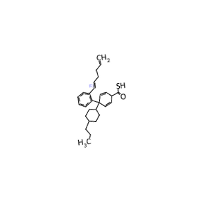 C=CCC/C=C/c1ccccc1C1(C2CCC(CCC)CC2)C=CC(C(=O)S)C=C1